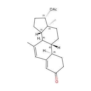 CC(=O)O[C@H]1CC[C@H]2[C@@H]3C(C)=CC4=CC(=O)CC[C@@H]4[C@H]3CC[C@]12C